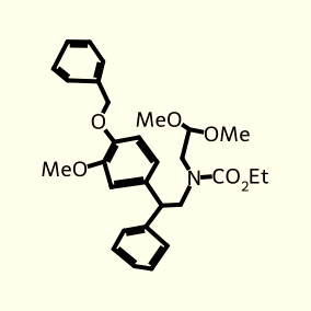 CCOC(=O)N(CC(OC)OC)CC(c1ccccc1)c1ccc(OCc2ccccc2)c(OC)c1